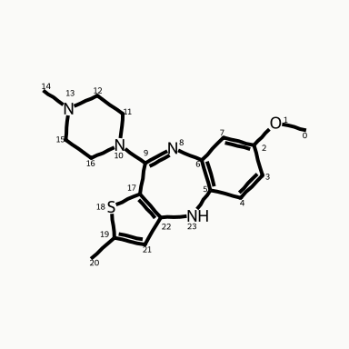 COc1ccc2c(c1)N=C(N1CCN(C)CC1)c1sc(C)cc1N2